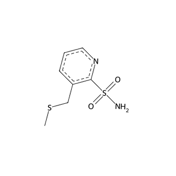 CSCc1cccnc1S(N)(=O)=O